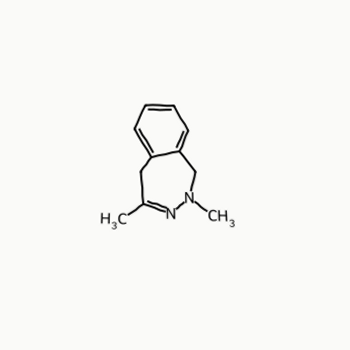 CC1=NN(C)Cc2ccccc2C1